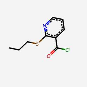 CCCSc1ncccc1C(=O)Cl